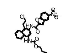 CCCCOC(=O)Nc1cc(NC(=O)c2cc3cc([N+](=O)[O-])ccc3o2)c(CCCl)c2ccccc12